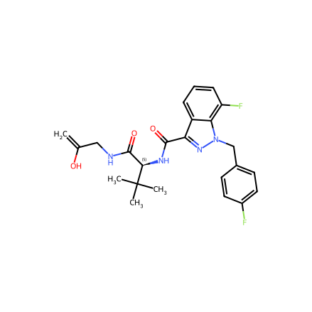 C=C(O)CNC(=O)[C@@H](NC(=O)c1nn(Cc2ccc(F)cc2)c2c(F)cccc12)C(C)(C)C